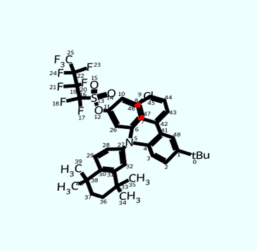 CC(C)(C)c1ccc(N(c2cc(Cl)cc(OS(=O)(=O)C(F)(F)C(F)(F)C(F)(F)C(F)(F)F)c2)c2ccc3c(c2)C(C)(C)CCC3(C)C)c(-c2ccccc2)c1